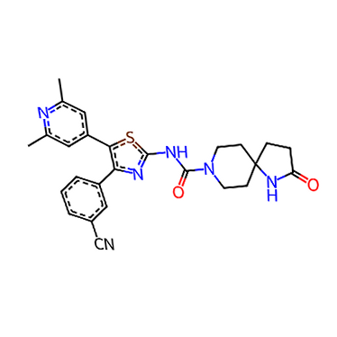 Cc1cc(-c2sc(NC(=O)N3CCC4(CCC(=O)N4)CC3)nc2-c2cccc(C#N)c2)cc(C)n1